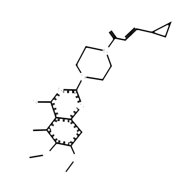 COc1cc2nc(N3CCN(C(=O)/C=C/C4CC4)CC3)nc(N)c2c(F)c1OC